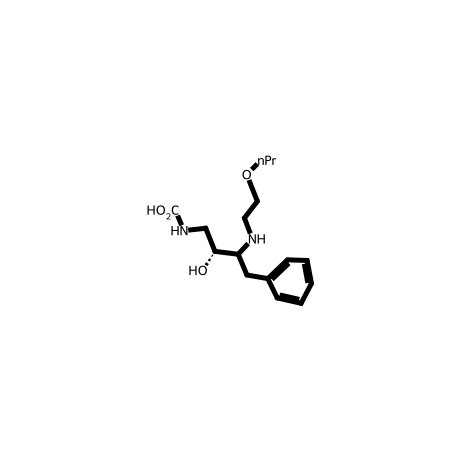 CCCOCCNC(Cc1ccccc1)[C@H](O)CNC(=O)O